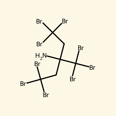 NC(CC(Br)(Br)Br)(CC(Br)(Br)Br)C(Br)(Br)Br